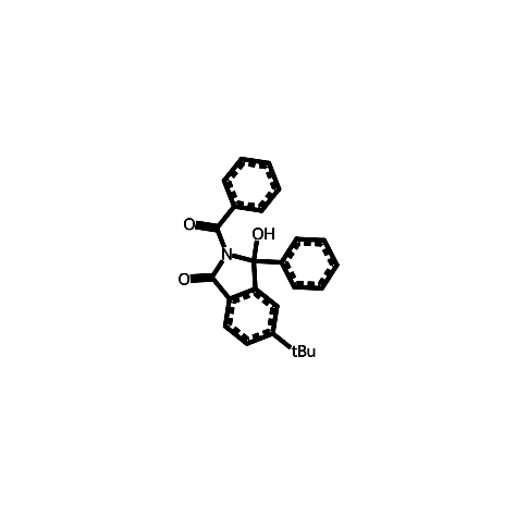 CC(C)(C)c1ccc2c(c1)C(O)(c1ccccc1)N(C(=O)c1ccccc1)C2=O